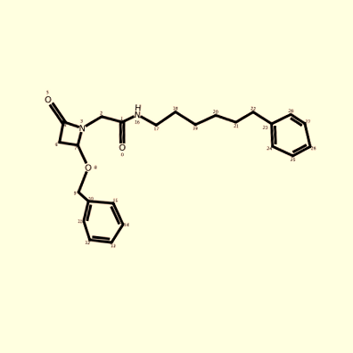 O=C(CN1C(=O)CC1OCc1ccccc1)NCCCCCCc1ccccc1